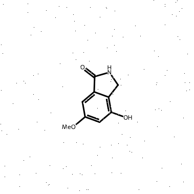 COc1cc(O)c2c(c1)C(=O)NC2